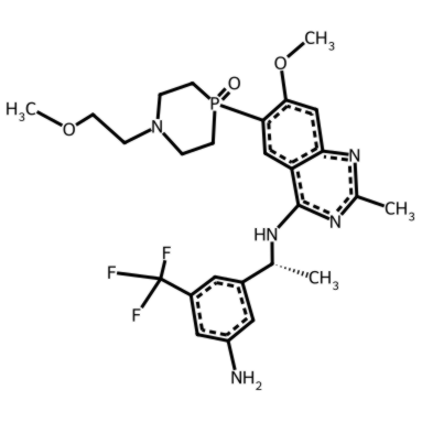 COCCN1CCP(=O)(c2cc3c(N[C@H](C)c4cc(N)cc(C(F)(F)F)c4)nc(C)nc3cc2OC)CC1